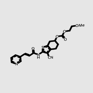 COCCOC(=O)OC1CCc2c(sc(NC(=O)/C=C/c3cccnc3)c2C#N)C1